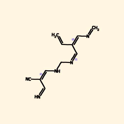 C=CC(/C=N\CN/C=C(/C#N)C=N)=C/N=C